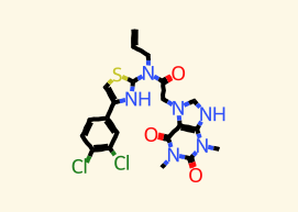 C=CCN(C(=O)CN1CNc2c1c(=O)n(C)c(=O)n2C)C1NC(c2ccc(Cl)c(Cl)c2)=CS1